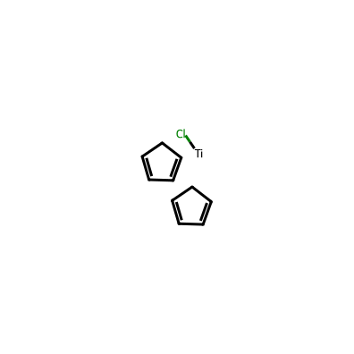 C1=CCC=C1.C1=CCC=C1.[Cl][Ti]